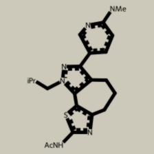 CNc1ccc(-c2nn(CC(C)C)c3c2CCCc2nc(NC(C)=O)sc2-3)cn1